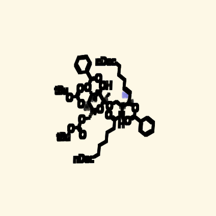 CCCCCCCCCCCCC/C=C/[C@@H](OC(=O)c1ccccc1)[C@H](CO[C@@]1(C)O[C@H](COC(=O)OC(C)(C)C)[C@H](OC(=O)OC(C)(C)C)[C@H](OC(=O)c2ccccc2)[C@H]1O)NC(=O)CCCCCCCCCCCCCCC